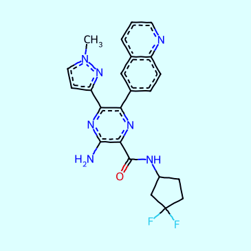 Cn1ccc(-c2nc(N)c(C(=O)NC3CCC(F)(F)C3)nc2-c2ccc3ncccc3c2)n1